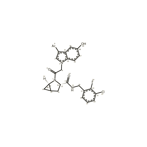 CC(=O)c1cn(CC(=O)N2[C@@H]3CC3C[C@H]2C(=O)NCc2cccc(Cl)c2F)c2ccc(O)cc12